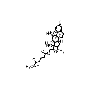 CNC(=O)CCCC(=O)OCC(=O)[C@@]1(O)[C@H](C)C[C@H]2[C@@H]3CCC4=CC(=O)C=C[C@]4(C)[C@@]3(F)[C@@H](O)C[C@@]21C